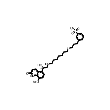 CC(=O)Oc1ccc([C@@H](O)CNCCCCCCCOCCCc2cccc(S(N)(=O)=O)c2)c2ccc(=O)[nH]c12